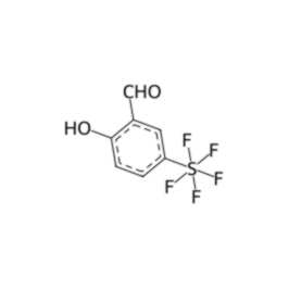 O=Cc1cc(S(F)(F)(F)(F)F)ccc1O